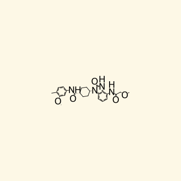 COCC(=O)Nc1cccc2c1[nH]c(=O)n2[C@H]1CC[C@@H](C(=O)Nc2ccc(C)c(OC)c2)CC1